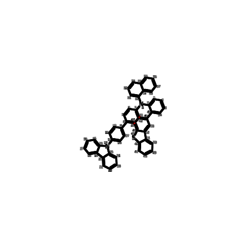 c1ccc(N(c2ccc(-c3ccc(-n4c5ccccc5c5ccccc54)cc3)cc2)c2cccc3ccccc23)c(-c2ccc3sc4ccccc4c3c2)c1